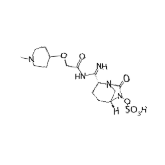 CN1CCC(OCC(=O)NC(=N)[C@H]2CC[C@@H]3CN2C(=O)N3OS(=O)(=O)O)CC1